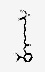 CNC(=O)CCCCCCC(=O)Oc1ccccc1C(N)=O